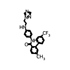 Cc1ccc(C(=O)Nc2ccc(NCCn3cncn3)cc2)c(-c2ccc(C(F)(F)F)cc2)c1